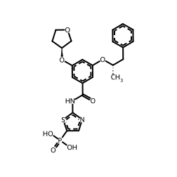 C[C@@H](Cc1ccccc1)Oc1cc(O[C@H]2CCOC2)cc(C(=O)Nc2ncc(P(=O)(O)O)s2)c1